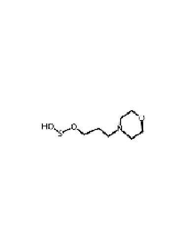 OSOCCCN1CCOCC1